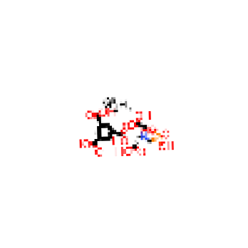 O=C(O)CN(CC(=O)O)CP(=O)(O)O.O=C(O)c1cc(C(=O)O)cc(C(=O)O)c1.[MgH2].[Ni]